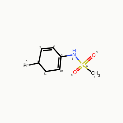 CC(C)C1C=CC(NS(C)(=O)=O)=CC1